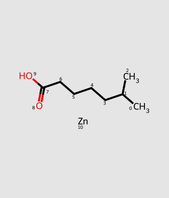 CC(C)CCCCC(=O)O.[Zn]